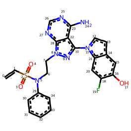 C=CS(=O)(=O)N(CCn1nc(-n2ccc3cc(O)c(F)cc32)c2c(N)ncnc21)c1ccccc1